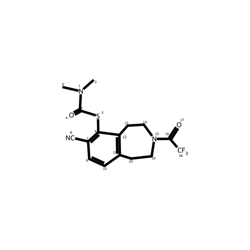 CN(C)C(=O)Sc1c(C#N)ccc2c1CCN(C(=O)C(F)(F)F)CC2